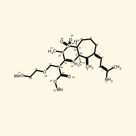 C=C1/C(=C\C=C(/C)N)CCC[C@H]2[C@]1(C)N=C(N(COCCOC)C(=O)OC(C)(C)C)N(C)S2(=O)=O